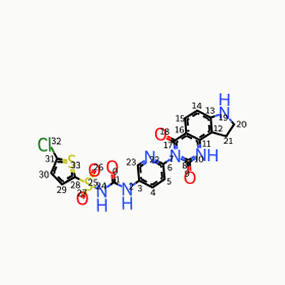 O=C(Nc1ccc(-n2c(=O)[nH]c3c4c(ccc3c2=O)NCC4)nc1)NS(=O)(=O)c1ccc(Cl)s1